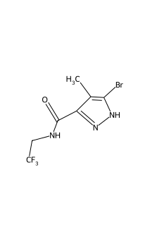 Cc1c(C(=O)NCC(F)(F)F)n[nH]c1Br